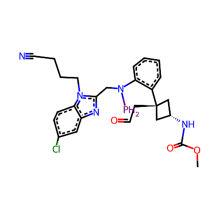 COC(=O)N[C@H]1C[C@@](CC=O)(c2ccccc2N(P)Cc2nc3cc(Cl)ccc3n2CCCC#N)C1